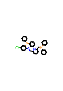 Clc1ccc(N=Cc2cccc(CP(c3ccccc3)c3ccccc3)n2)c(P(c2ccccc2)c2ccccc2)c1